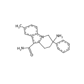 Cc1ccc2c(c1)c(C(N)=O)c1n2CC(N)(c2ccccc2)CC1